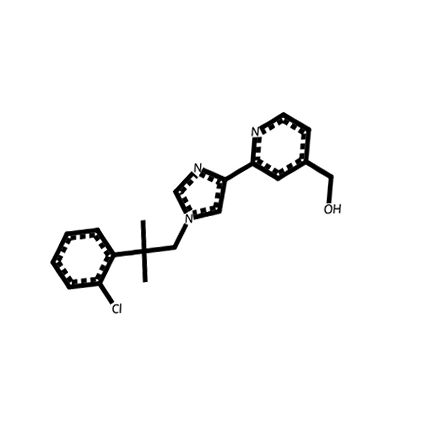 CC(C)(Cn1cnc(-c2cc(CO)ccn2)c1)c1ccccc1Cl